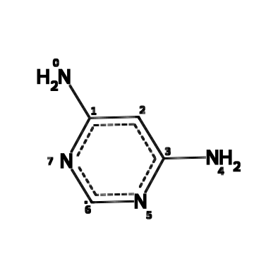 Nc1cc(N)n[c]n1